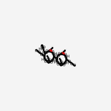 CCCCOc1c2cccc1C(=O)NCCN(CCN1CCNC(=O)c3cccc(c3OCCCC)C(=O)NCCN(CCOCCOCCOC)CC(CCCCNC(=O)OC(C)(C)C)NC(=O)c3cccc(c3OCCCC)C(=O)NCC1)CCNC(=O)c1cccc(c1OCCCC)C(=O)NCCN(CCOCCOCCOC)CCNC2=O